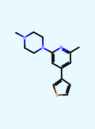 Cc1cc(-c2ccsc2)cc(N2CCN(C)CC2)n1